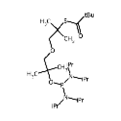 CC(C)N(C(C)C)P(OC(C)(C)COCC(C)(C)SC(=O)C(C)(C)C)N(C(C)C)C(C)C